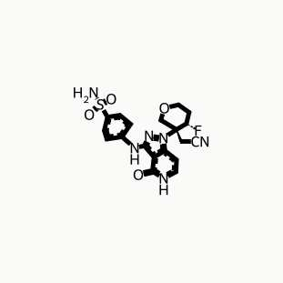 N#CC[C@@]1(n2nc(Nc3ccc(S(N)(=O)=O)cc3)c3c(=O)[nH]ccc32)COCC[C@@H]1F